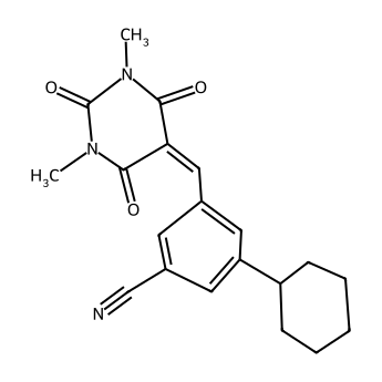 CN1C(=O)C(=Cc2cc(C#N)cc(C3CCCCC3)c2)C(=O)N(C)C1=O